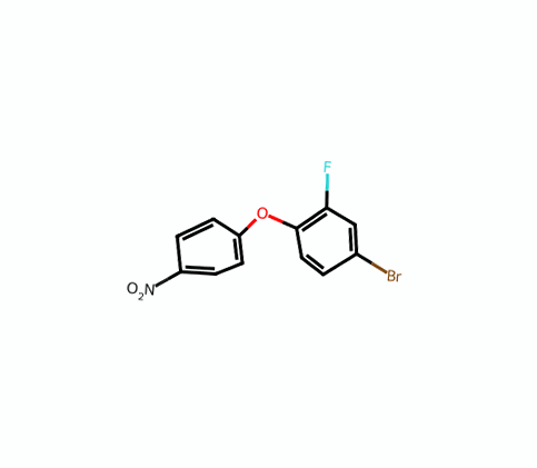 O=[N+]([O-])c1ccc(Oc2ccc(Br)cc2F)cc1